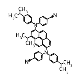 CC(C)c1ccc(N(c2ccc(C#N)cc2)c2ccc3ccc4c(N(c5ccc(C#N)cc5)c5ccc(C(C)C)cc5)cc(C(C)C)c5ccc2c3c54)cc1